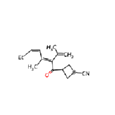 C=C(C)/C(C(=O)C1CB(C#N)C1)=C(C)\C=C/CC